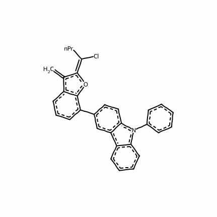 C=c1/c(=C(/Cl)CCC)oc2c(-c3ccc4c(c3)c3ccccc3n4-c3ccccc3)cccc12